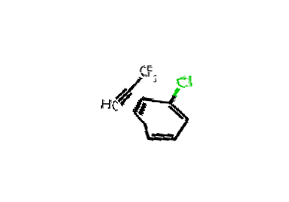 C#CC(F)(F)F.Clc1ccccc1